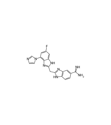 N=C(N)c1ccc2[nH]c(Cc3nc4c(-n5ccnc5)cc(F)cc4[nH]3)nc2c1